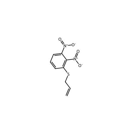 C=CCSc1cccc([N+](=O)[O-])c1[N+](=O)[O-]